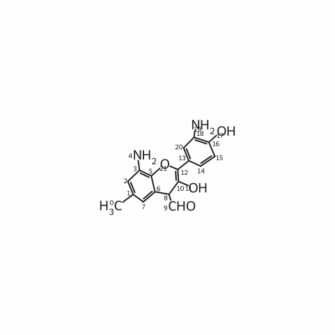 Cc1cc(N)c2c(c1)C(C=O)C(O)=C(c1ccc(O)c(N)c1)O2